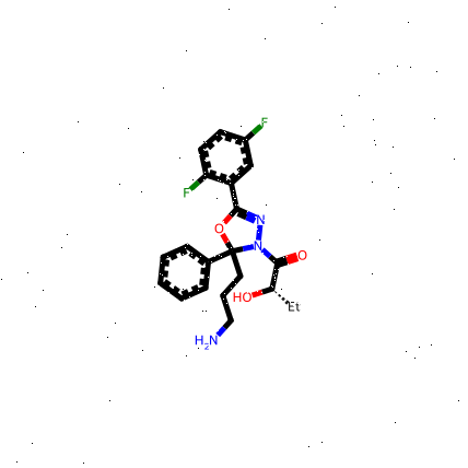 CC[C@H](O)C(=O)N1N=C(c2cc(F)ccc2F)OC1(CCCN)c1ccccc1